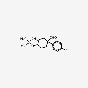 CC(C)(C)[Si](C)(C)O[C@H]1CC[C@](C=O)(c2ccc(F)cc2)CC1